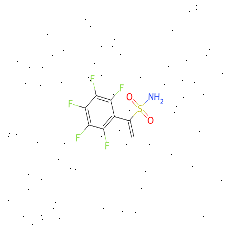 C=C(c1c(F)c(F)c(F)c(F)c1F)S(N)(=O)=O